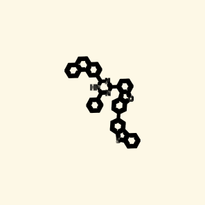 c1ccc(C2=NC(c3cccc4oc5cc(-c6ccc7sc8ccccc8c7c6)ccc5c34)=NC(c3ccc4ccc5ccccc5c4c3)N2)cc1